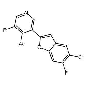 CC(=O)c1c(F)cncc1-c1cc2cc(Cl)c(F)cc2o1